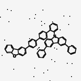 c1ccc(-c2ccc3c(c2)c2cc(-c4ccccc4)ccc2n3-c2ccccc2-c2ccc(-c3ccc(-c4ccc5oc6ccccc6c5c4)cc3)cc2)cc1